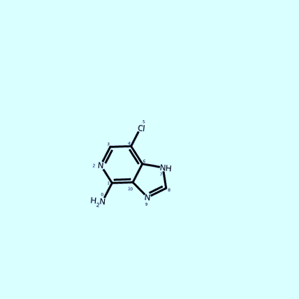 Nc1ncc(Cl)c2[nH]cnc12